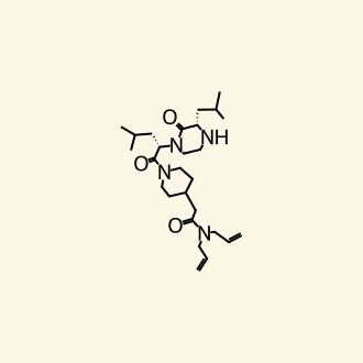 C=CCN(CC=C)C(=O)CC1CCN(C(=O)[C@H](CC(C)C)N2CCN[C@@H](CC(C)C)C2=O)CC1